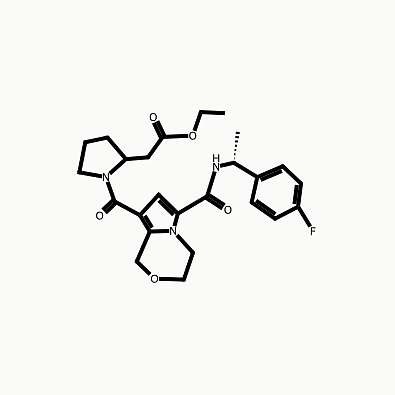 CCOC(=O)CC1CCCN1C(=O)c1cc(C(=O)N[C@H](C)c2ccc(F)cc2)n2c1COCC2